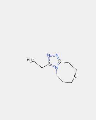 CCc1nnc2n1CCCCCC2